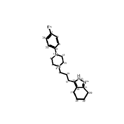 Fc1ccc(N2CCN(CCCc3[nH]nc4c3CCCC4)CC2)cc1